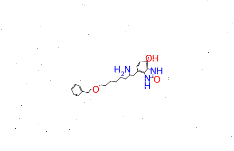 NC(CCCCCCOCCc1ccccc1)Cc1ccc(O)c2[nH]c(=O)[nH]c12